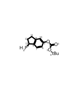 CC(C)(C)OC(=O)Oc1ccc2c(c1)CCC2P